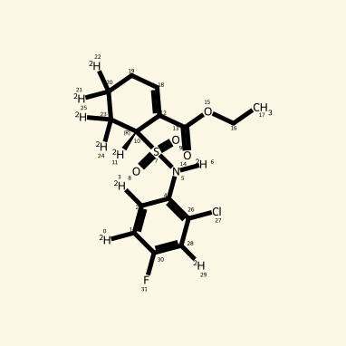 [2H]c1c([2H])c(N([2H])S(=O)(=O)[C@@]2([2H])C(C(=O)OCC)=CCC([2H])([2H])C2([2H])[2H])c(Cl)c([2H])c1F